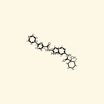 CC1(C(=O)Nc2ccc3cc(NC(=O)c4csc(-c5ccncc5)n4)[nH]c3c2)CCCCC1